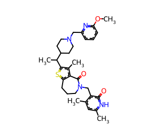 COc1cccc(CN2CCC(C(C)c3sc4c(c3C)C(=O)N(Cc3c(C)cc(C)[nH]c3=O)CCC4)CC2)n1